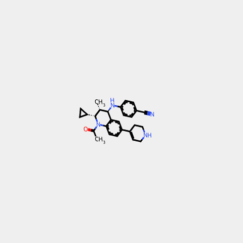 CC(=O)N1c2ccc(C3=CCNCC3)cc2[C@H](Nc2ccc(C#N)cc2)[C@@H](C)[C@H]1C1CC1